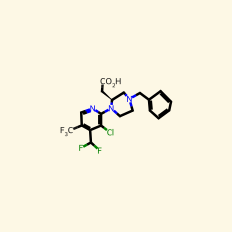 O=C(O)C[C@H]1CN(Cc2ccccc2)CCN1c1ncc(C(F)(F)F)c(C(F)F)c1Cl